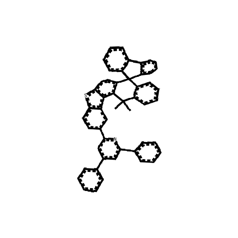 CC1(C)c2ccccc2C2(c3ccccc3-c3ccccc32)c2ccc3sc4ccc(-c5cc(-c6ccccc6)cc(-c6ccccc6)n5)cc4c3c21